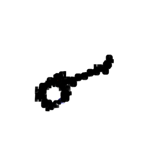 C/C=C(\C)[C@H]1OC(=O)[C@@H](C)NC(=O)[C@H]([C@H](C)CC)NC(=O)CN(C)C(=O)[C@@H](Cc2ccc(Cl)cc2)N(C)C(=O)[C@H](CCCCNC(=O)CCOCCOCCOCCOCCNC(=O)c2ccc(C(C)=O)cc2)NC(=O)[C@@H](CC(C)C)OC(=O)/C(C)=C/CC[C@@H]1C